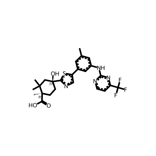 Cc1cc(Nc2nccc(C(F)(F)F)n2)cc(-c2cnc([C@]3(O)CC[C@@](C)(C(=O)O)C(C)(C)C3)s2)c1